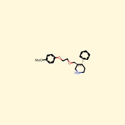 COc1ccc(OCCOC[C@@H]2CNCC[C@H]2c2ccccc2)cc1